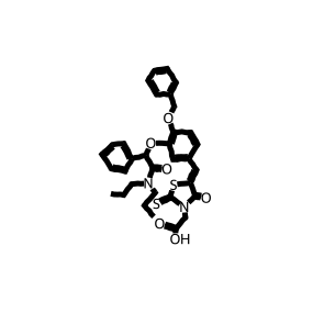 CCCN(CCC)C(=O)C(Oc1cc(C=C2SC(=S)N(CC(=O)O)C2=O)ccc1OCc1ccccc1)c1ccccc1